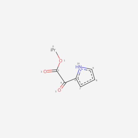 CC(C)OC(=O)C(=O)c1ccc[nH]1